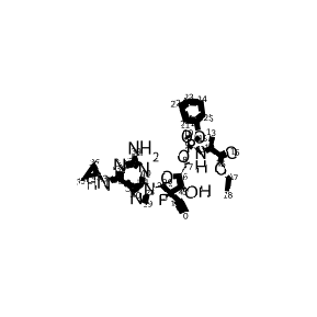 C#C[C@@]1(F)[C@H](O)[C@@H](CO[P@@](=O)(NC(C)C(=O)OCC)Oc2ccccc2)O[C@H]1n1cnc2c(NC3CC3)nc(N)nc21